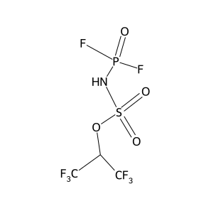 O=P(F)(F)NS(=O)(=O)OC(C(F)(F)F)C(F)(F)F